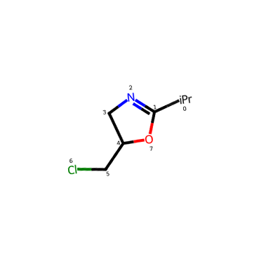 CC(C)C1=NCC(CCl)O1